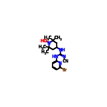 CC1(C)CC(NC(=NC#N)Nc2cccc(Br)n2)CC(C)(C)N1O